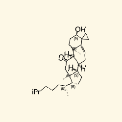 CC(C)CCC[C@@H](C)[C@H]1CC[C@H]2[C@@H]3CC=C4C5(CC5)[C@H](O)CC[C@]4(C)[C@H]3C(=O)C[C@]12C